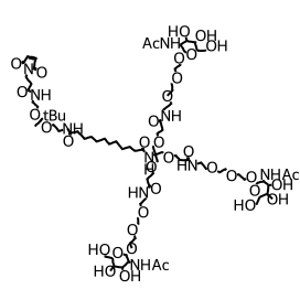 CC(=O)NC1C(OCCOCCOCCNC(=O)CCOCC(COCCC(=O)NCCOCCOCCOC2OC(CO)C(O)C(O)C2NC(C)=O)(COCCC(=O)NCCOCCOCCOC2OC(CO)C(O)C(O)C2NC(C)=O)NC(=O)CCCCCCCCCCC(=O)NCCOC(C)(OCCNC(=O)CCN2C(=O)C=CC2=O)C(C)(C)C)OC(CO)C(O)C1O